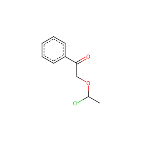 CC(Cl)OCC(=O)c1ccccc1